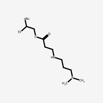 CCCCC(CC)COC(=O)CCNCCCN(C)C